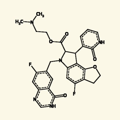 CN(C)CCOC(=O)C1C(c2ccc[nH]c2=O)c2c(cc(F)c3c2OCC3)N1Cc1cc2c(=O)[nH]cnc2cc1F